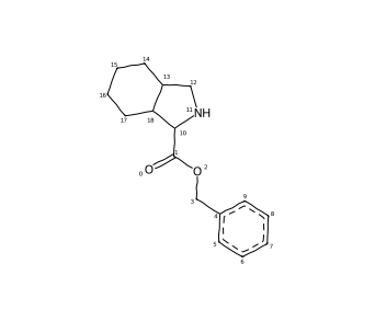 O=C(OCc1ccccc1)C1NCC2CCCCC21